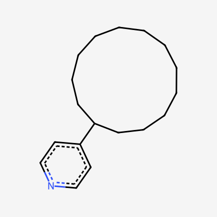 c1cc(C2CCCCCCCCCCCC2)ccn1